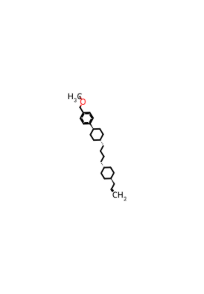 C=CC[C@H]1CC[C@H](CCCC[C@H]2CC[C@H](c3ccc(COC)cc3)CC2)CC1